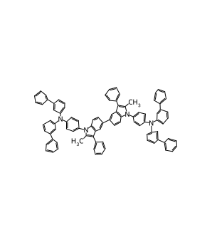 Cc1c(-c2ccccc2)c2cc(-c3ccc4c(c3)c(-c3ccccc3)c(C)n4-c3ccc(N(c4cccc(-c5ccccc5)c4)c4cccc(-c5ccccc5)c4)cc3)ccc2n1-c1ccc(N(c2cccc(-c3ccccc3)c2)c2cccc(-c3ccccc3)c2)cc1